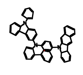 C1=CC2c3cc4ccccc4cc3N(c3ccc(N(c4ccc5c(c4)c4ccccc4n5-c4ccccc4)c4ccccc4-c4ccccc4)cc3)C2C=C1